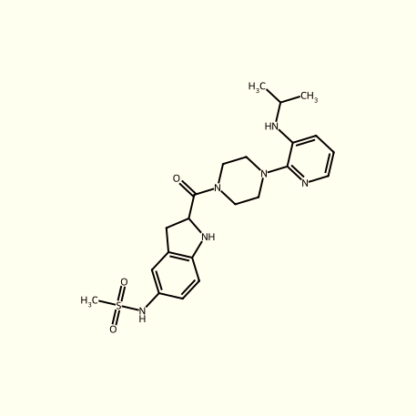 CC(C)Nc1cccnc1N1CCN(C(=O)C2Cc3cc(NS(C)(=O)=O)ccc3N2)CC1